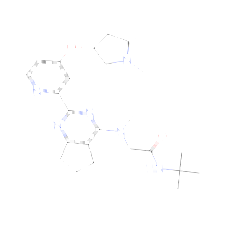 C[C@H]1C[C@@H](Oc2ccnc(-c3nc4c(c(N(C)CC(=O)NC(C)(C)C)n3)CCC4)c2)CN1C